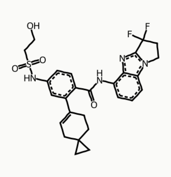 O=C(Nc1cccc2c1nc1n2CCC1(F)F)c1ccc(NS(=O)(=O)CCO)cc1C1=CCC2(CC1)CC2